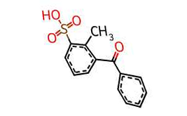 Cc1c(C(=O)c2ccccc2)cccc1S(=O)(=O)O